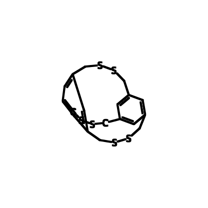 c1c2cc3cc1CSSCc1cc(cc(c1)CSSC3)CSSC2